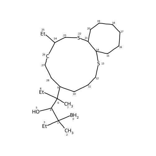 BC(C)(CC)C(O)C(C)(CC)C1CCCSC2CCCCCCC2SCC(CC)CCC1